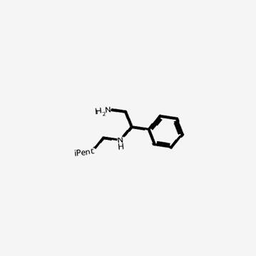 CCCC(C)CNC(CN)c1ccccc1